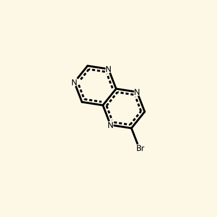 Brc1cnc2ncncc2n1